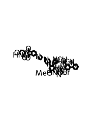 COc1cc(N2CCN(C[C@@H]3CCN(c4ccc5c(c4)C(=O)N(C4CCC(=O)NC4=O)C5=O)C3)CC2)c(-c2cnn(C)c2)cc1Nc1ncc(Br)c(Nc2ccc(-c3ccccc3F)cc2P(C)(C)=O)n1